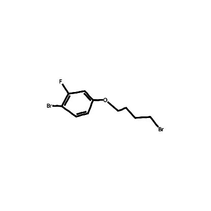 Fc1cc(OCCCCBr)ccc1Br